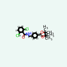 CC1(C)OB(c2ccc(CNC(=O)c3c(Cl)cccc3Cl)cc2)OC1(C)C